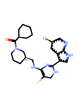 O=C(C1CCCCC1)N1CCC[C@H](CNC2=C(F)CNC(c3c[nH]c4ncc(Cl)cc34)=N2)C1